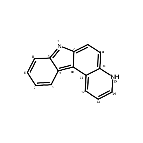 [c]1cc2nc3ccccc3c2c2ccc[nH]c12